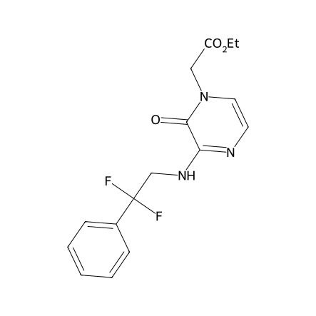 CCOC(=O)Cn1ccnc(NCC(F)(F)c2ccccc2)c1=O